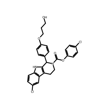 O=C(Oc1ccc(Cl)cc1)N1CCc2c([nH]c3ccc(Cl)cc23)C1c1ccc(OCCCO)cc1